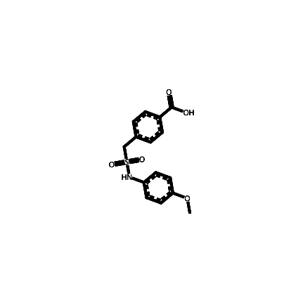 COc1ccc(NS(=O)(=O)Cc2ccc(C(=O)O)cc2)cc1